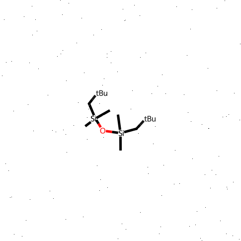 CC(C)(C)C[Si](C)(C)O[Si](C)(C)CC(C)(C)C